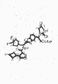 COCC(c1ccc2oc([C@@H](NC(=O)c3nocc3C3CCC3)C3CCC(F)(F)CC3)nc2c1)N1CC(C(F)(F)F)NC1=O